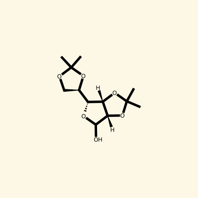 CC1(C)O[C@H]2[C@@H]([C@H]3COC(C)(C)O3)OC(O)[C@H]2O1